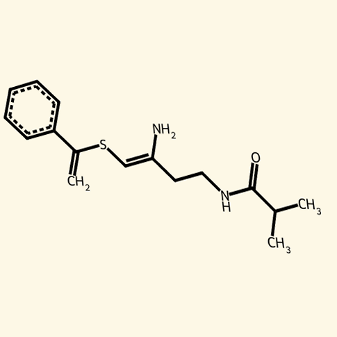 C=C(S/C=C(\N)CCNC(=O)C(C)C)c1ccccc1